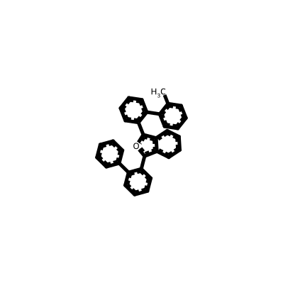 Cc1ccccc1-c1ccccc1-c1oc(-c2ccccc2-c2ccccc2)c2ccccc12